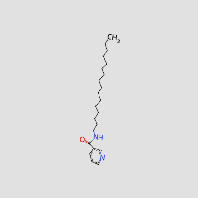 CCCCCCCCCCCCCCCCNC(=O)c1[c]nccc1